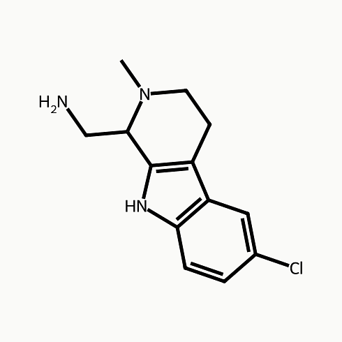 CN1CCc2c([nH]c3ccc(Cl)cc23)C1CN